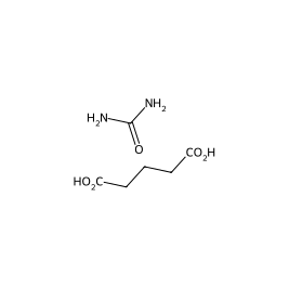 NC(N)=O.O=C(O)CCCC(=O)O